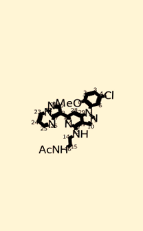 COc1ccc(Cl)cc1-n1ncc2c(NCCNC(C)=O)nc(-c3cnn4cccnc34)cc21